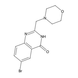 O=c1[nH]c(CN2CCOCC2)nc2ccc(Br)cc12